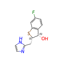 O[C@H]1c2ccc(F)cc2S[C@H]1Cc1ncc[nH]1